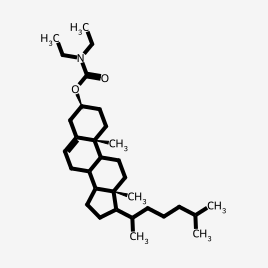 CCN(CC)C(=O)O[C@H]1CC[C@@]2(C)C(=CCC3C4CCC(C(C)CCCC(C)C)[C@@]4(C)CCC32)C1